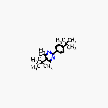 Cc1nc(-c2ccc(C(C)(C)C)cc2)ncc1C(C)(C)C